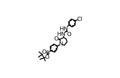 CC1(C)OB(c2ccc(N3CCCC(NC(=O)Nc4ccc(Cl)cc4)C3=O)cc2)OC1(C)C